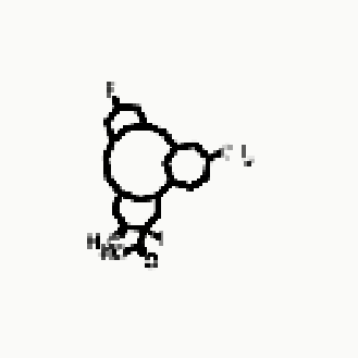 C=C1CC2CCC3CC(F)CC(C3)CC3CC(C)CCC(C3)C(C2)C[C@]1(I)C(=O)O